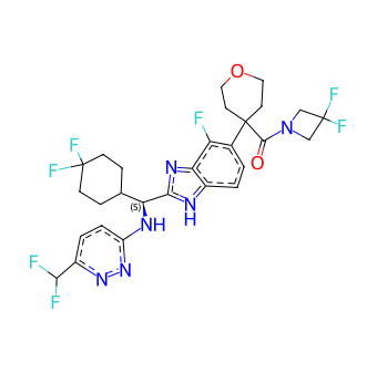 O=C(N1CC(F)(F)C1)C1(c2ccc3[nH]c([C@@H](Nc4ccc(C(F)F)nn4)C4CCC(F)(F)CC4)nc3c2F)CCOCC1